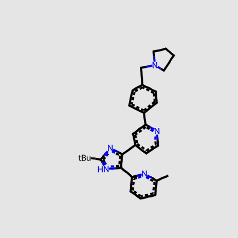 Cc1cccc(-c2[nH]c(C(C)(C)C)nc2-c2ccnc(-c3ccc(CN4CCCC4)cc3)c2)n1